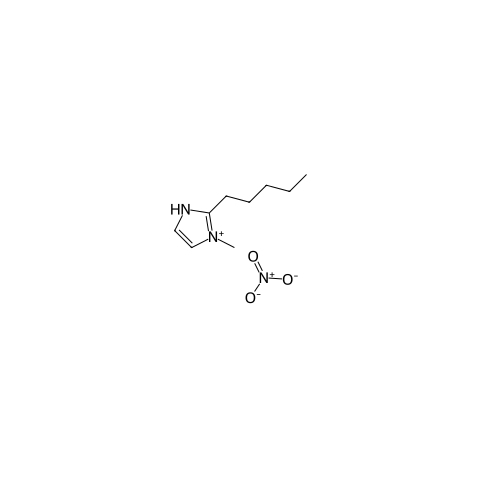 CCCCCc1[nH]cc[n+]1C.O=[N+]([O-])[O-]